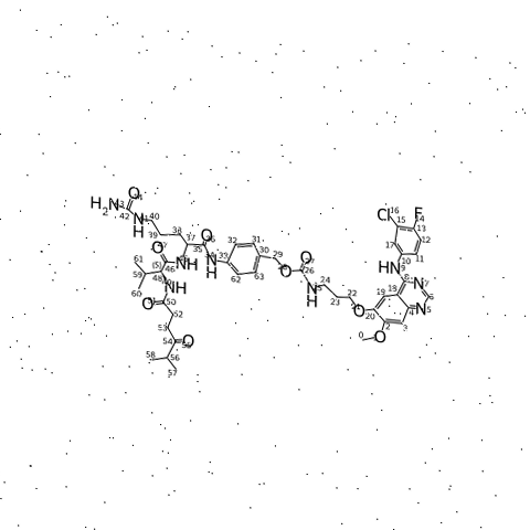 COc1cc2ncnc(Nc3ccc(F)c(Cl)c3)c2cc1OCCCNC(=O)OCc1ccc(NC(=O)C(CCCNC(N)=O)NC(=O)[C@@H](NC(=O)CCC(=O)C(C)C)C(C)C)cc1